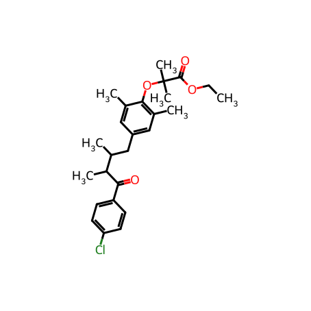 CCOC(=O)C(C)(C)Oc1c(C)cc(CC(C)C(C)C(=O)c2ccc(Cl)cc2)cc1C